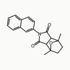 CC12CCC(C)(O1)C1C(=O)N(c3ccc4ccccc4c3)C(=O)C12